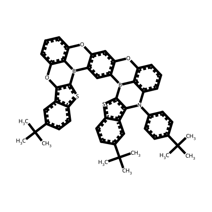 CC(C)(C)c1ccc(N2c3cccc4c3B(c3cc5c(cc3O4)Oc3cccc4c3B5c3sc5ccc(C(C)(C)C)cc5c3O4)c3sc4ccc(C(C)(C)C)cc4c32)cc1